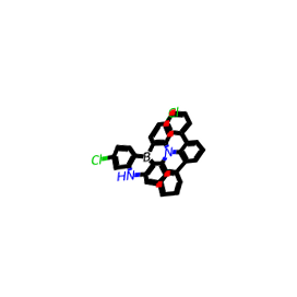 Clc1ccc2c(c1)Nc1cccc3c1B2c1ccc(Cl)cc1N3c1c(-c2ccccc2)cccc1-c1ccccc1